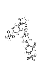 CNS(=O)(=O)c1ccc(N2CCCC2)c(C(=O)N2CCN(c3ccc(S(C)(=O)=O)cc3F)CC2)c1